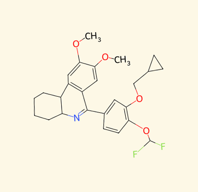 COc1cc2c(cc1OC)C1CCCCC1N=C2c1ccc(OC(F)F)c(OCC2CC2)c1